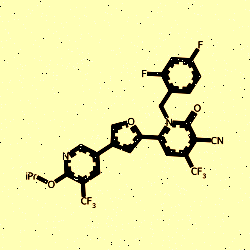 CC(C)Oc1ncc(-c2coc(-c3cc(C(F)(F)F)c(C#N)c(=O)n3Cc3ccc(F)cc3F)c2)cc1C(F)(F)F